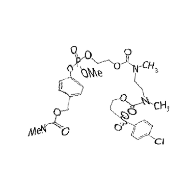 CNC(=O)OCc1ccc(OP(=O)(OC)OCCOC(=O)N(C)CCN(C)C(=O)OCCS(=O)(=O)c2ccc(Cl)cc2)cc1